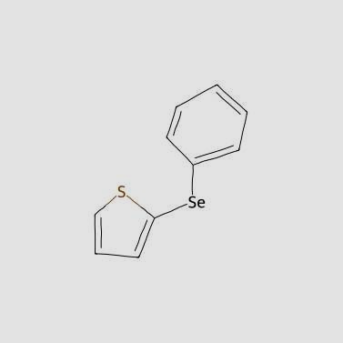 c1ccc([Se]c2cccs2)cc1